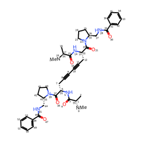 CN[C@@H](C)C(=O)N[C@@H](CC#CC#CC[C@H](NC(=O)[C@H](C)NC)C(=O)N1CCC[C@H]1CNC(=O)c1ccccc1)C(=O)N1CCC[C@H]1CNC(=O)c1ccccc1